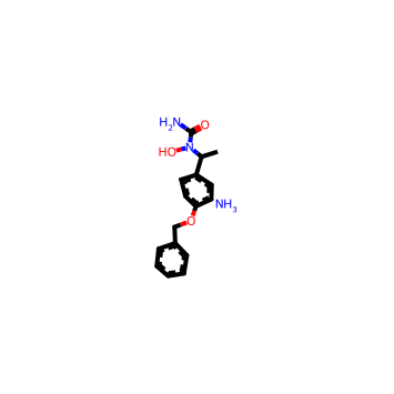 CC(c1ccc(OCc2ccccc2)cc1)N(O)C(N)=O.N